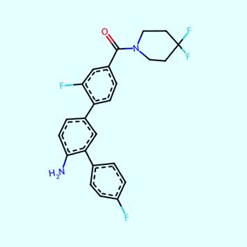 Nc1ccc(-c2ccc(C(=O)N3CCC(F)(F)CC3)cc2F)cc1-c1ccc(F)cc1